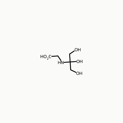 O=C(O)CNC(O)(CO)CO